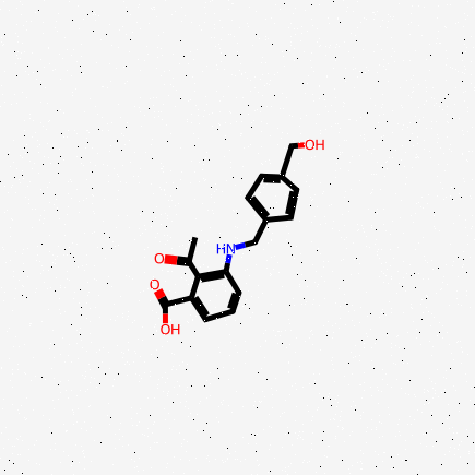 CC(=O)c1c(NCc2ccc(CO)cc2)cccc1C(=O)O